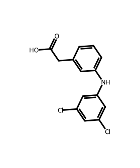 O=C(O)Cc1cccc(Nc2cc(Cl)cc(Cl)c2)c1